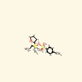 CC=S(C)(C)(OS(=O)(=O)c1ccc(C)cc1)C1CCCO1